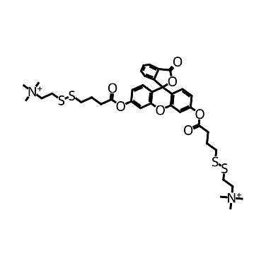 C[N+](C)(C)CCSSCCCC(=O)Oc1ccc2c(c1)Oc1cc(OC(=O)CCCSSCC[N+](C)(C)C)ccc1C21OC(=O)c2ccccc21